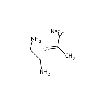 CC(=O)[O-].NCCN.[Na+]